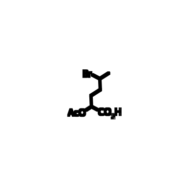 CC(=O)OC(CCC(C)Br)C(=O)O